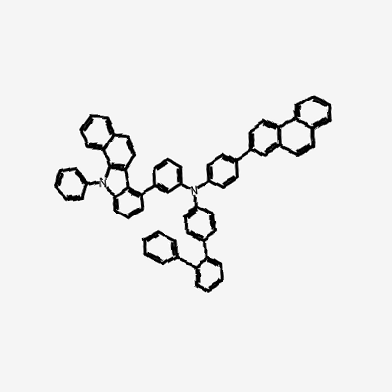 c1ccc(-c2ccccc2-c2ccc(N(c3ccc(-c4ccc5c(ccc6ccccc65)c4)cc3)c3cccc(-c4cccc5c4c4ccc6ccccc6c4n5-c4ccccc4)c3)cc2)cc1